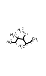 CCC(C)C(OC)C(C)CO